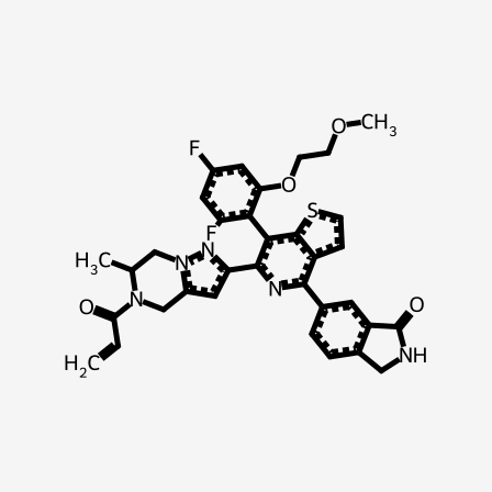 C=CC(=O)N1Cc2cc(-c3nc(-c4ccc5c(c4)C(=O)NC5)c4ccsc4c3-c3c(F)cc(F)cc3OCCOC)nn2CC1C